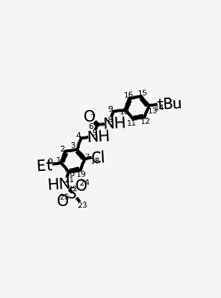 CCc1cc(CNC(=O)NCc2ccc(C(C)(C)C)cc2)c(Cl)cc1NS(C)(=O)=O